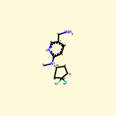 CN(c1ccc(CN)cn1)[C@@H]1CCC(F)(F)C1